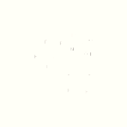 CC(C)N(C(CC(F)(F)C(F)F)CC(F)(F)C(F)F)P(=O)(O)O